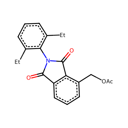 CCc1cccc(CC)c1N1C(=O)c2cccc(COC(C)=O)c2C1=O